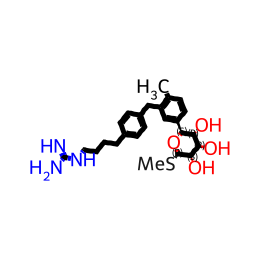 CS[C@H]1O[C@@H](c2ccc(C)c(Cc3ccc(CCCCNC(=N)N)cc3)c2)[C@H](O)[C@@H](O)[C@@H]1O